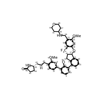 COc1nc(-c2ccnc(-c3cccc4c3CC[C@H]4Oc3nc(OC)c(CNC4CCOCC4)cc3C(F)(F)F)c2Cl)ccc1CNC[C@@H]1CCC(=O)N1